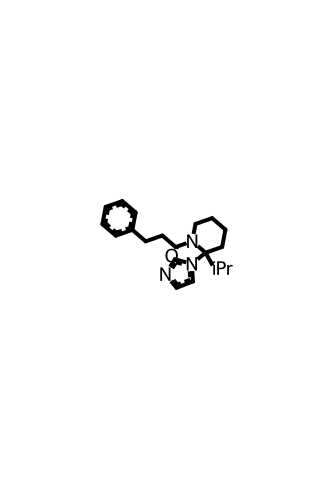 CC(C)C1(n2ccnc2)CCCCN1C(=O)CCc1ccccc1